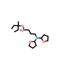 CCC(C)(CC)O[SiH2]CCCN(C1CCCO1)C1CCCO1